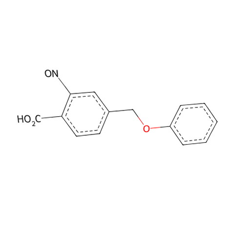 O=Nc1cc(COc2ccccc2)ccc1C(=O)O